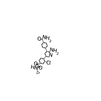 NC(=O)c1ccc(-c2cc(-c3ccc(S(=O)(=O)NC4CC4)cc3Cl)cnc2N)cc1